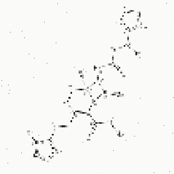 Cn1nnnc1SCC1=C(C(=O)OC(C)(C)C)N2C(=O)C(NC(=O)C[S+]([O-])c3cccs3)[C@@H]2SC1